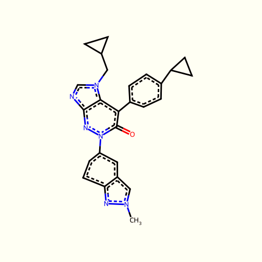 Cn1cc2cc(-n3nc4ncn(CC5CC5)c4c(-c4ccc(C5CC5)cc4)c3=O)ccc2n1